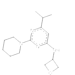 CC(C)c1cc(NC2COC2)nc(N2CCCCC2)n1